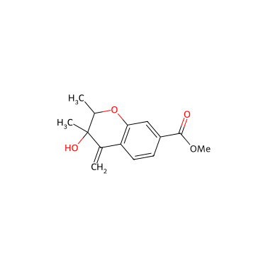 C=C1c2ccc(C(=O)OC)cc2OC(C)C1(C)O